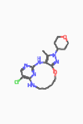 Cc1c2c(nn1C1CCOCC1)OCCCCNc1nc(ncc1Cl)N2